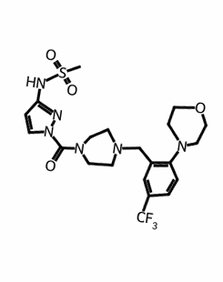 CS(=O)(=O)Nc1ccn(C(=O)N2CCN(Cc3cc(C(F)(F)F)ccc3N3CCOCC3)CC2)n1